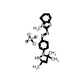 CC1=CC(C)(C)N(c2ccc(N=Nc3sc4ccccc4[n+]3C)cc2)N1.[O-][Cl+3]([O-])([O-])[O-]